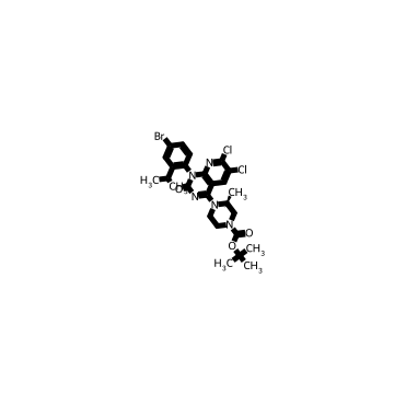 CC(C)c1cc(Br)ccc1-n1c(=O)nc(N2CCN(C(=O)OC(C)(C)C)C[C@@H]2C)c2cc(Cl)c(Cl)nc21